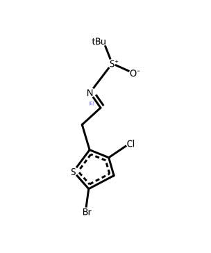 CC(C)(C)[S+]([O-])/N=C/Cc1sc(Br)cc1Cl